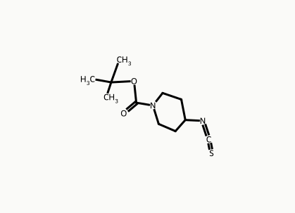 CC(C)(C)OC(=O)N1CCC(N=C=S)CC1